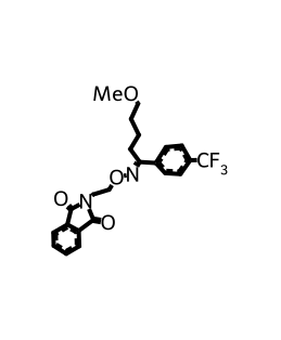 COCCCC/C(=N\OCCN1C(=O)c2ccccc2C1=O)c1ccc(C(F)(F)F)cc1